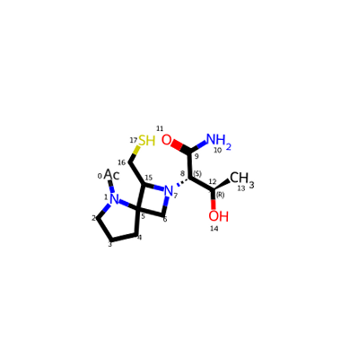 CC(=O)N1CCCC12CN([C@H](C(N)=O)[C@@H](C)O)C2CS